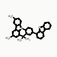 Cc1ccc2c(c1)c1cc(C)cc3c1n2-c1ccc(-c2cccc4c2oc2ccccc24)cc1C3(C)C